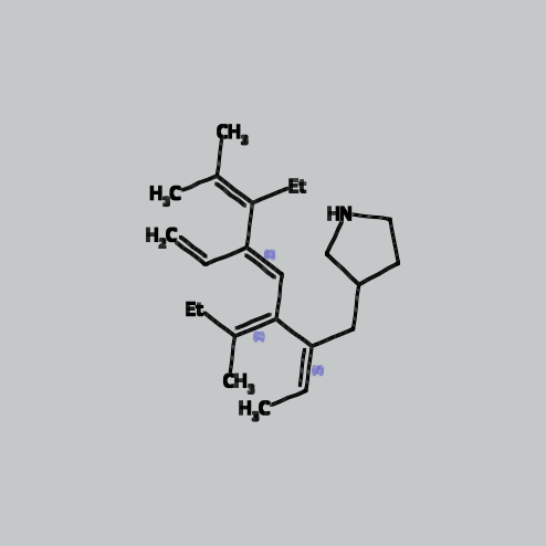 C=C\C(=C/C(C(=C\C)/CC1CCNC1)=C(/C)CC)C(CC)=C(C)C